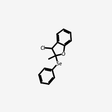 CC1([Se]c2ccccc2)Oc2ccccc2C1Cl